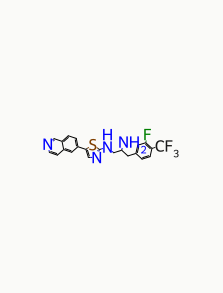 NC(CNc1ncc(-c2ccc3cnccc3c2)s1)Cc1ccc(C(F)(F)F)c(F)c1